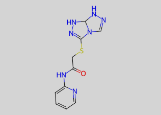 O=C(CSC1=NNC2NN=CN12)Nc1ccccn1